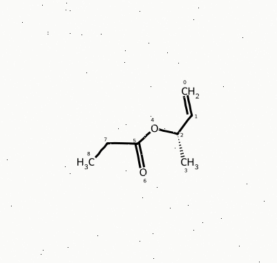 C=C[C@H](C)OC(=O)CC